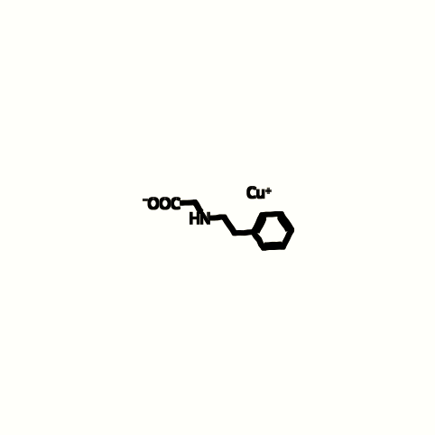 O=C([O-])CNCCc1ccccc1.[Cu+]